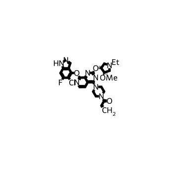 C=CC(=O)N1CCN(c2nc(O[C@@H]3CN(CC)C[C@H]3OC)nc3c(Oc4c(Cl)c(F)cc5[nH]ncc45)nccc23)CC1